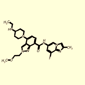 CCNC1CCN(c2ccc(C(=O)Nc3cc(F)c4nc(C)cn4c3)c3nn(CCOC)cc23)CC1